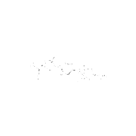 CON1C[C@@H]2[C@H](C1)[C@H]2c1ccc(N2C[C@H](C(N)=O)OC2=O)cc1F